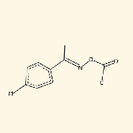 C/C(=N\OC(=O)Cl)c1ccc(Cl)cc1